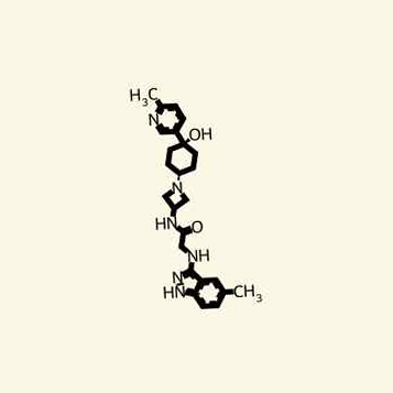 Cc1ccc2[nH]nc(NCC(=O)NC3CN([C@H]4CC[C@@](O)(c5ccc(C)nc5)CC4)C3)c2c1